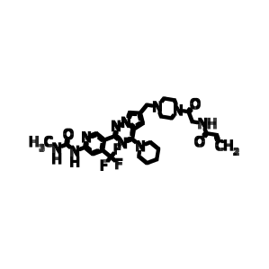 C=CC(=O)NCC(=O)N1CCN(Cc2cc3c(N4CCCCC4)nc(-c4cnc(NC(=O)NC)cc4C(F)(F)F)nn3c2)CC1